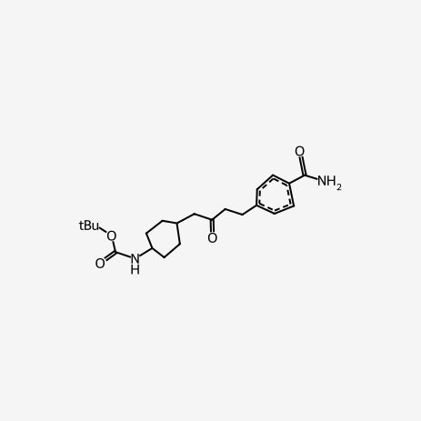 CC(C)(C)OC(=O)NC1CCC(CC(=O)CCc2ccc(C(N)=O)cc2)CC1